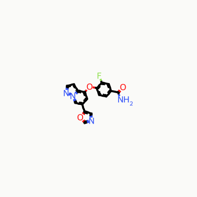 NC(=O)c1ccc(Oc2cc(-c3cnco3)cn3nccc23)c(F)c1